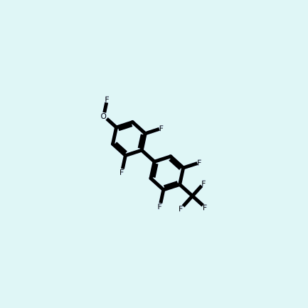 FOc1cc(F)c(-c2cc(F)c(C(F)(F)F)c(F)c2)c(F)c1